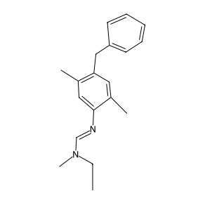 CCN(C)C=Nc1cc(C)c(Cc2ccccc2)cc1C